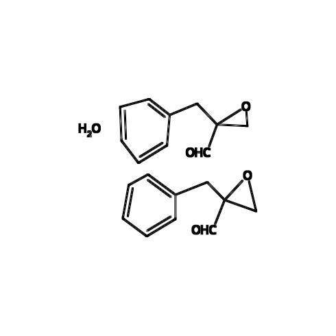 O.O=CC1(Cc2ccccc2)CO1.O=CC1(Cc2ccccc2)CO1